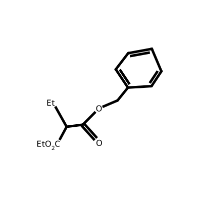 CCOC(=O)C(CC)C(=O)OCc1ccccc1